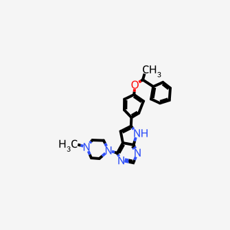 CC(Oc1ccc(-c2cc3c(N4CCN(C)CC4)ncnc3[nH]2)cc1)c1ccccc1